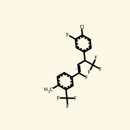 Cc1ccc(/C(F)=C/C(c2ccc(Cl)c(F)c2)C(F)(F)F)cc1C(F)(F)F